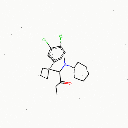 CCC(=O)C(N(C)C1CCCCC1)C1(c2ccc(Cl)c(Cl)c2)CCC1